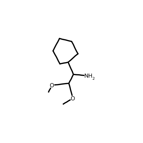 COC(OC)C(N)C1CCCCC1